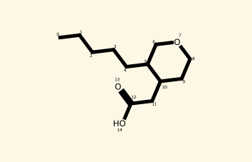 CCCCCC1COCCC1CC(=O)O